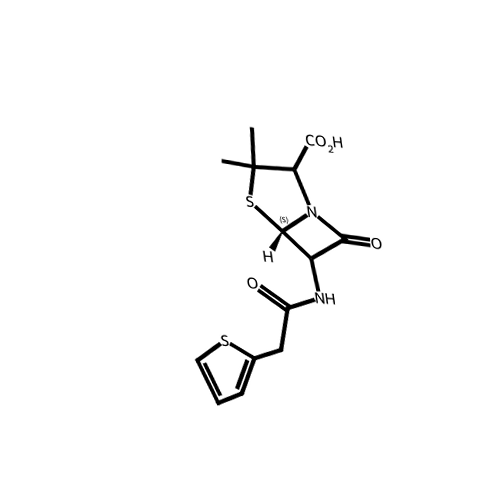 CC1(C)S[C@H]2C(NC(=O)Cc3cccs3)C(=O)N2C1C(=O)O